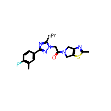 CCCc1nc(-c2ccc(F)c(C)c2)nn1CC(=O)N1Cc2nc(C)sc2C1